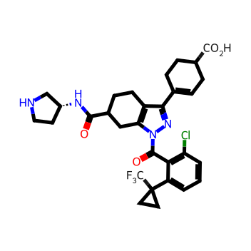 O=C(O)C1CC=C(c2nn(C(=O)c3c(Cl)cccc3C3(C(F)(F)F)CC3)c3c2CCC(C(=O)N[C@@H]2CCNC2)C3)CC1